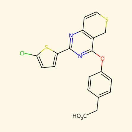 O=C(O)Cc1ccc(Oc2nc(-c3ccc(Cl)s3)nc3c2CSC=C3)cc1